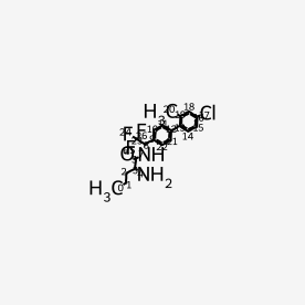 CCC[C@H](N)C(=O)N[C@@H](c1ccc(-c2ccc(Cl)cc2C)cc1)C(F)(F)F